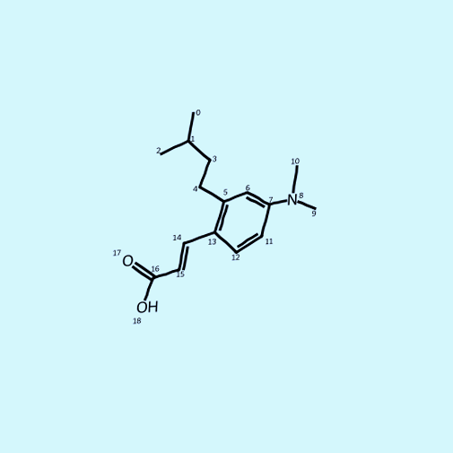 CC(C)CCc1cc(N(C)C)ccc1C=CC(=O)O